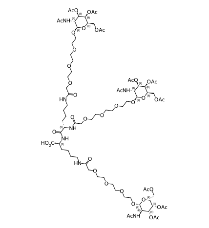 CC(=O)N[C@H]1[C@H](OCCOCCOCCOCC(=O)NCCCC[C@H](NC(=O)[C@H](CCCCNC(=O)COCCOCCOCCO[C@@H]2O[C@H](COC(C)=O)[C@H](OC(C)=O)[C@H](OC(C)=O)[C@H]2NC(C)=O)NC(=O)COCCOCCOCCO[C@@H]2O[C@H](COC(C)=O)[C@H](OC(C)=O)[C@H](OC(C)=O)[C@H]2NC(C)=O)C(=O)O)O[C@H](COC(C)=O)[C@H](OC(C)=O)[C@@H]1OC(C)=O